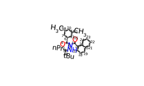 CCC[C@@H](NN(C(=O)c1cc(C)cc(C)c1)C(=O)c1cccc2ccccc12)C(C)(C)C